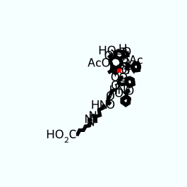 CC(=O)O[C@H]1C(=O)[C@@]2(C)[C@H]([C@H](OC(=O)c3ccccc3)[C@]3(O)C[C@H](OC(=O)[C@H](OC(=O)COCC(=O)NCCCc4cn(CCCCCC(=O)O)nn4)[C@@H](NC(=O)c4ccccc4)c4ccccc4)C(C)=C1C3(C)C)[C@]1(OC(C)=O)CO[C@@H]1C[C@@H]2O